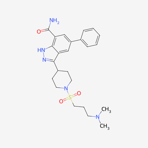 CN(C)CCCS(=O)(=O)N1CCC(c2n[nH]c3c(C(N)=O)cc(-c4ccccc4)cc23)CC1